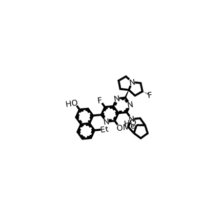 CCc1cccc2cc(O)cc(-c3nc(OC)c4c(N5CC6CCC(C5)C6O)nc([C@@]56CCCN5C[C@H](F)C6)nc4c3F)c12